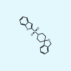 O=S(=O)(c1cc2ccccc2s1)N1CCC2(CC1)OCc1ccccc12